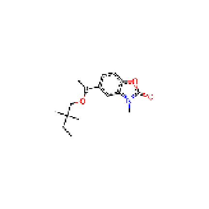 CCC(C)(C)COB(C)c1ccc2oc(=O)n(C)c2c1